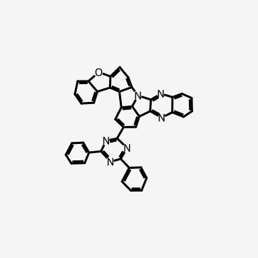 c1ccc(-c2nc(-c3ccccc3)nc(-c3cc4c5nc6ccccc6nc5n5c6ccc7oc8ccccc8c7c6c(c3)c45)n2)cc1